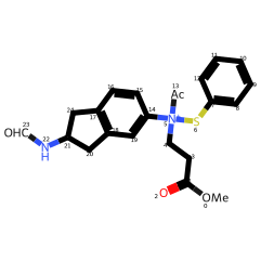 COC(=O)CC[N+](Sc1ccccc1)(C(C)=O)c1ccc2c(c1)CC(NC=O)C2